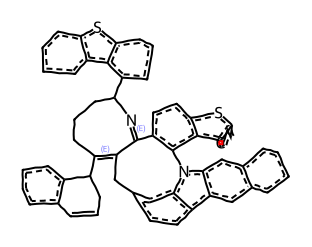 C1=Cc2ccccc2C(/C2=C3\Cc4ccc5c6cc7ccccc7cc6n(c5c4)-c4c(ccc5sc6ccccc6c45)\C3=N\C(c3cccc4sc5ccccc5c34)CCC2)C1